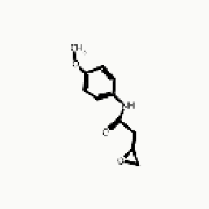 COc1ccc(NC(=O)CC2CO2)cc1